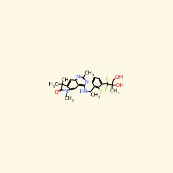 Cc1nc(NC(C)c2cccc(C(F)(F)C(C)(O)CO)c2F)c2cc3c(cc2n1)C(C)(C)C(=O)N3C